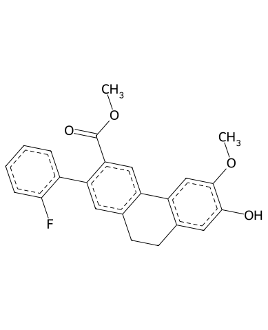 COC(=O)c1cc2c(cc1-c1ccccc1F)CCc1cc(O)c(OC)cc1-2